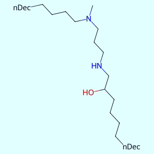 CCCCCCCCCCCCCCC(O)CNCCCN(C)CCCCCCCCCCCCCC